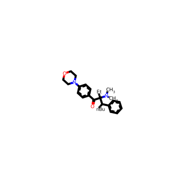 CCCCC(c1ccccc1)C(CC)(C(=O)c1ccc(N2CCOCC2)cc1)N(C)C